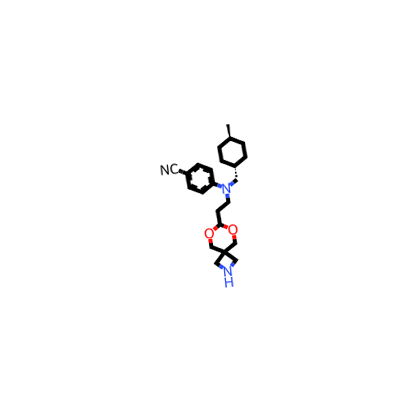 C[C@H]1CC[C@H](CN(CCC2OCC3(CNC3)CO2)c2ccc(C#N)cc2)CC1